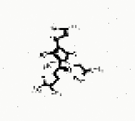 CC(C)CC[C@H]1C(=O)C(C(=O)CC(C)C)=C(O)[C@]1(O)C(=O)CCC(C)C(=O)O